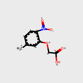 Cc1ccc([N+](=O)[O-])c(OCC(=O)O)c1